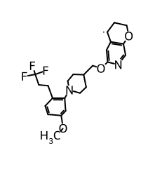 COc1ccc(CCC(F)(F)F)c(N2CCC(COc3cc4c(cn3)OCC[CH]4)CC2)c1